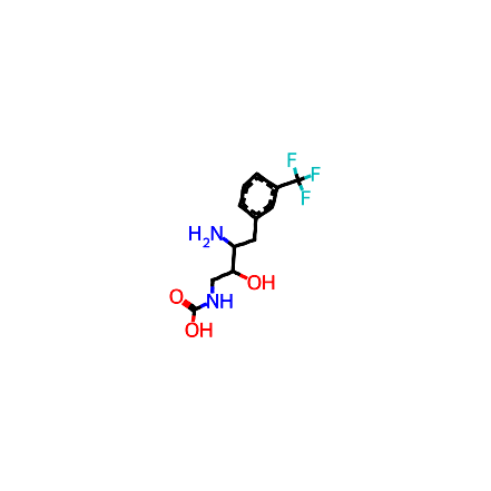 NC(Cc1cccc(C(F)(F)F)c1)C(O)CNC(=O)O